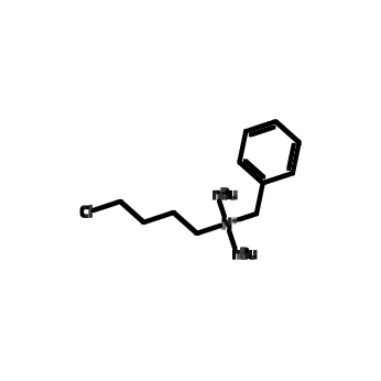 CCCC[N+](CCCC)(CCCCCl)Cc1ccccc1